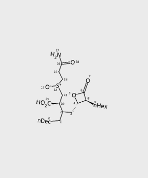 CCCCCCCCCCCC(C[C@@H]1OC(=O)[C@H]1CCCCCC)[C@H](C[S+]([O-])CCC(N)=O)C(=O)O